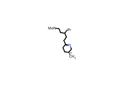 CNCCC(CCC1=NC[C@@H](C)CC1)C(C)C